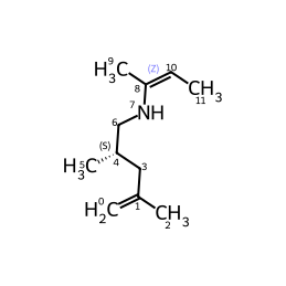 C=C(C)C[C@H](C)CN/C(C)=C\C